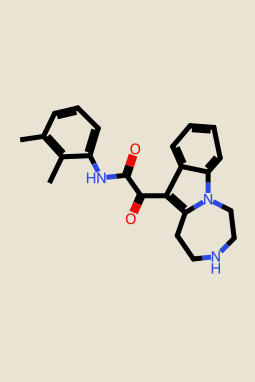 Cc1cccc(NC(=O)C(=O)c2c3n(c4ccccc24)CCNCC3)c1C